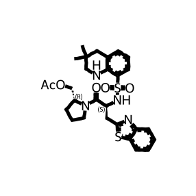 CC(=O)OC[C@H]1CCCN1C(=O)[C@H](Cc1nc2ccccc2s1)NS(=O)(=O)c1cccc2c1NCC(C)(C)C2